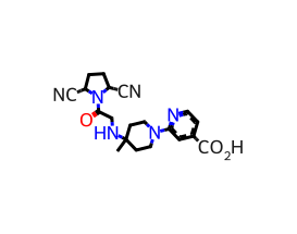 CC1(NCC(=O)N2C(C#N)CCC2C#N)CCN(c2cc(C(=O)O)ccn2)CC1